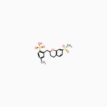 Cc1ccc(S(=O)(=O)O)c(CC2CCc3ccc(S(C)(=O)=O)cc3O2)c1